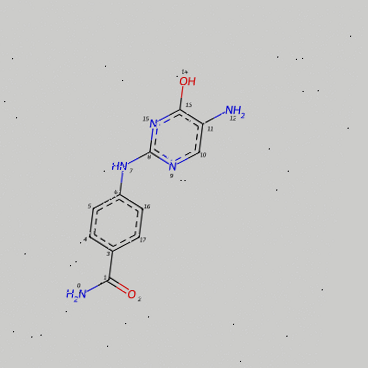 NC(=O)c1ccc(Nc2ncc(N)c(O)n2)cc1